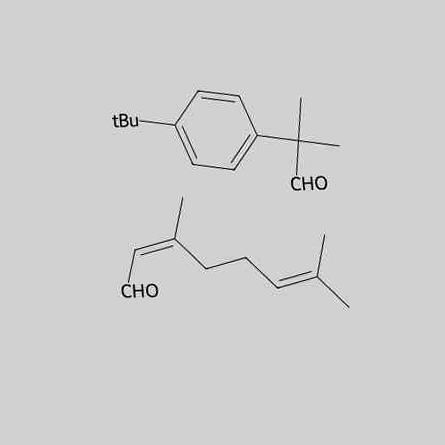 CC(C)(C)c1ccc(C(C)(C)C=O)cc1.CC(C)=CCCC(C)=CC=O